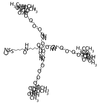 CC(=O)N[C@H]1[C@H]2OC[C@](COCCOCCOCCOCCn3cc(COCC(COCc4cn(CCOCCOCCOCCOC[C@@]56CO[C@@H](O5)[C@H](NC(C)=O)[C@H]5OC(C)(C)O[C@H]56)nn4)(COCc4cn(CCOCCOCCOCCOC[C@@]56CO[C@@H](O5)[C@H](NC(C)=O)[C@H]5OC(C)(C)O[C@H]56)nn4)NC(=O)CCCCCNC(=O)CCCCCSSc4ccccn4)nn3)(O2)[C@@H]2OC(C)(C)O[C@H]12